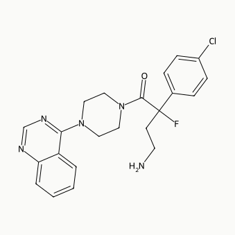 NCCC(F)(C(=O)N1CCN(c2ncnc3ccccc23)CC1)c1ccc(Cl)cc1